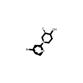 OC1CCN(c2cc(Br)ccn2)C[C@H]1F